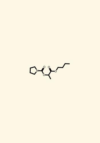 CCCCOC(=O)C(C)OC(=O)N1CCCC1